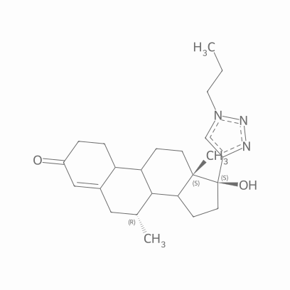 CCCn1cc([C@]2(O)CCC3C4C(CC[C@@]32C)C2CCC(=O)C=C2C[C@H]4C)nn1